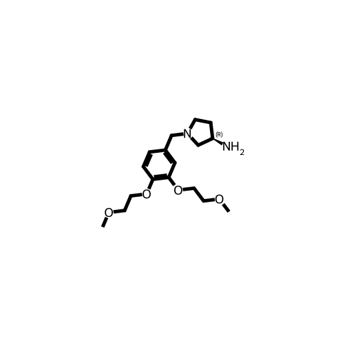 COCCOc1ccc(CN2CC[C@@H](N)C2)cc1OCCOC